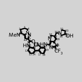 CN[C@H]1CCCn2nc(C(=O)Nc3cccc(-c4cccc(Nc5nc(C(F)(F)F)nc6cc(CN7CC[C@@H](O)C7)cnc56)c4Cl)c3Cl)cc21